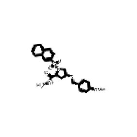 COc1ccc(CSC2CC(C(=O)NN)N(S(=O)(=O)c3ccc4ccccc4c3)C2)cc1